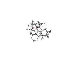 CC1CCCc2ncc(C(=O)N3[C@H]4CC[C@@H]3c3nn(C)c(-c5cc(F)c(F)c(F)c5)c3C4)n21